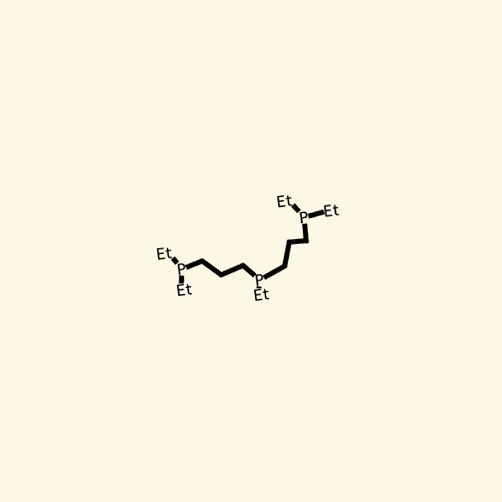 CCP(CC)CCCP(CC)CCCP(CC)CC